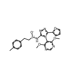 COc1ncnc(OC)c1-n1c(N[S+]([O-])CCc2ccc(C)cc2)nnc1-c1ccco1